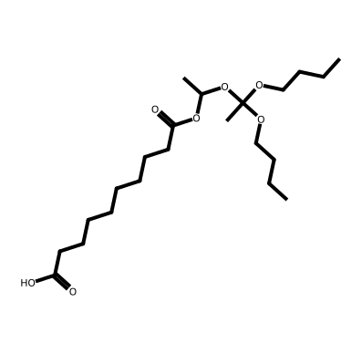 CCCCOC(C)(OCCCC)OC(C)OC(=O)CCCCCCCCC(=O)O